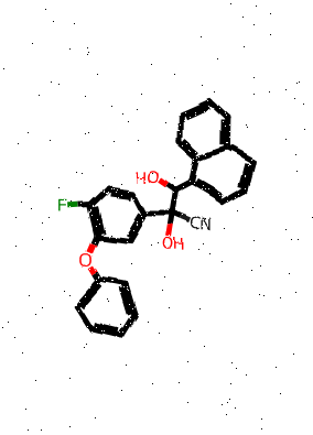 N#CC(O)(c1ccc(F)c(Oc2ccccc2)c1)C(O)c1cccc2ccccc12